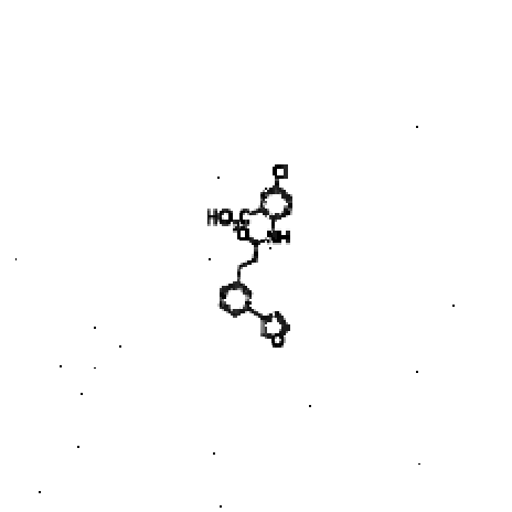 O=C(CCc1cccc(-c2ccoc2)c1)Nc1ccc(Cl)cc1C(=O)O